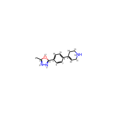 Cc1nnc(-c2ccc(C3=CCNCC3)cc2)o1